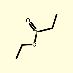 CC[O][Ti](=[O])[CH2]C